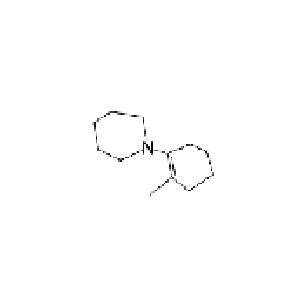 CC1=C(N2CCCCC2)CCCC1